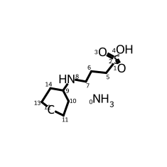 N.O=S(=O)(O)CCCNC1CCCCC1